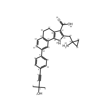 CC(C)(O)C#Cc1ccc(-c2cc3c(cn2)CCc2c-3[nH]c(CC3(N)CC3)c2C(=O)O)cc1